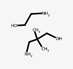 CC(C)(CN)CO.NCCO